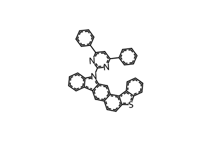 c1ccc(-c2cc(-c3ccccc3)nc(-n3c4ccccc4c4cc5ccc6sc7ccccc7c6c5cc43)n2)cc1